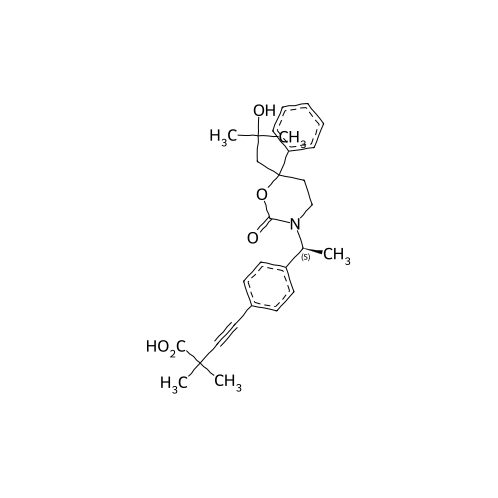 C[C@@H](c1ccc(C#CC(C)(C)C(=O)O)cc1)N1CCC(CC(C)(C)O)(c2ccccc2)OC1=O